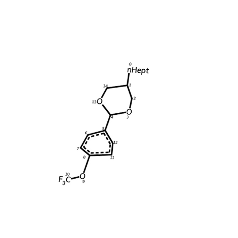 CCCCCCCC1COC(c2ccc(OC(F)(F)F)cc2)OC1